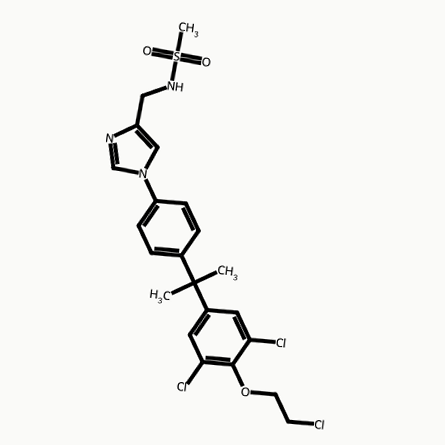 CC(C)(c1ccc(-n2cnc(CNS(C)(=O)=O)c2)cc1)c1cc(Cl)c(OCCCl)c(Cl)c1